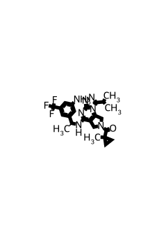 CC(C)c1nnc2nc(N[C@H](C)c3cc(N)cc(C(F)(F)F)c3)c3c(n12)CN(C(=O)C1(C)CC1)C3